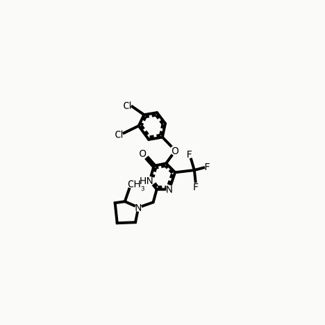 CC1CCCN1Cc1nc(C(F)(F)F)c(Oc2ccc(Cl)c(Cl)c2)c(=O)[nH]1